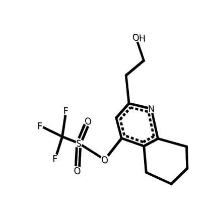 O=S(=O)(Oc1cc(CCO)nc2c1CCCC2)C(F)(F)F